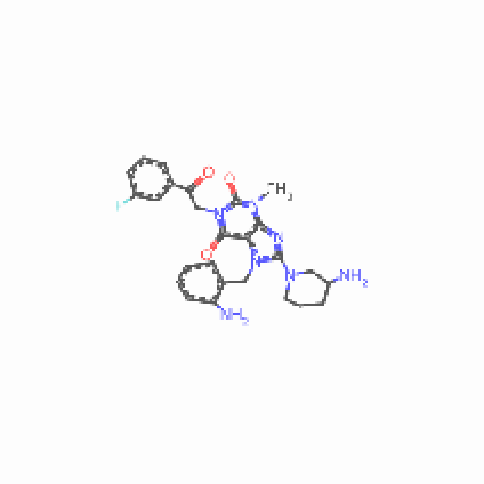 Cn1c(=O)n(CC(=O)c2cccc(F)c2)c(=O)c2c1nc(N1CCCC(N)C1)n2Cc1ccccc1N